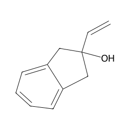 C=CC1(O)Cc2ccccc2C1